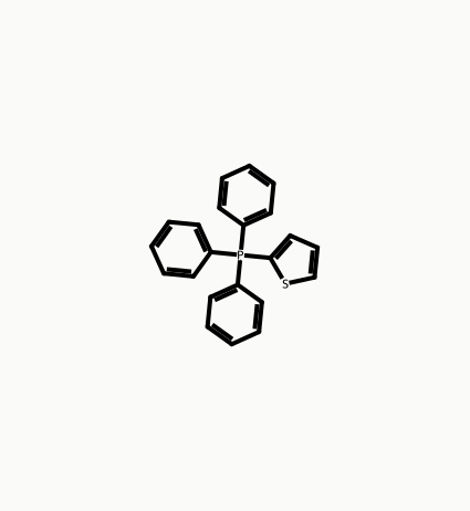 c1ccc([P](c2ccccc2)(c2ccccc2)c2cccs2)cc1